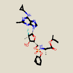 Cc1nc(NC2CC2)c2ncn([C@@H]3O[C@H](CO[P@@](=O)(N[C@@H](C)C(=O)OC(C)C)Oc4ccccc4)[C@@H](O)[C@@]3(C)F)c2n1